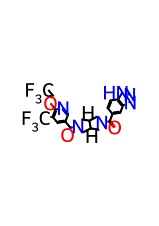 O=C(c1cnc(OCC(F)(F)F)c(C(F)(F)F)c1)N1C[C@@H]2CN(C(=O)c3ccc4[nH]nnc4c3)C[C@H]2C1